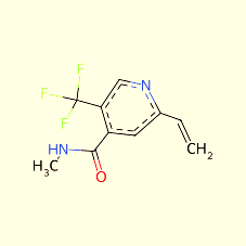 C=Cc1cc(C(=O)NC)c(C(F)(F)F)cn1